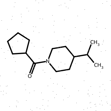 CC(C)C1CCN(C(=O)C2CCCC2)CC1